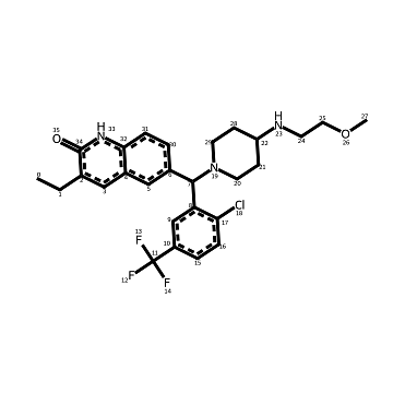 CCc1cc2cc(C(c3cc(C(F)(F)F)ccc3Cl)N3CCC(NCCOC)CC3)ccc2[nH]c1=O